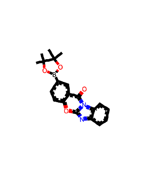 CC1(C)OB(c2ccc3oc4nc5ccccc5n4c(=O)c3c2)OC1(C)C